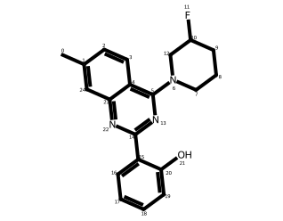 Cc1ccc2c(N3CCCC(F)C3)nc(-c3ccccc3O)nc2c1